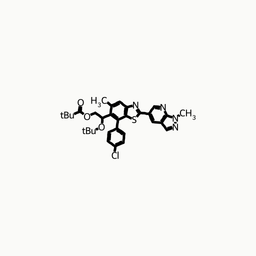 Cc1cc2nc(-c3cnc4c(cnn4C)c3)sc2c(-c2ccc(Cl)cc2)c1C(COC(=O)C(C)(C)C)OC(C)(C)C